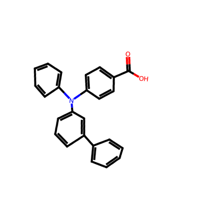 O=C(O)c1ccc(N(c2ccccc2)c2cccc(-c3ccccc3)c2)cc1